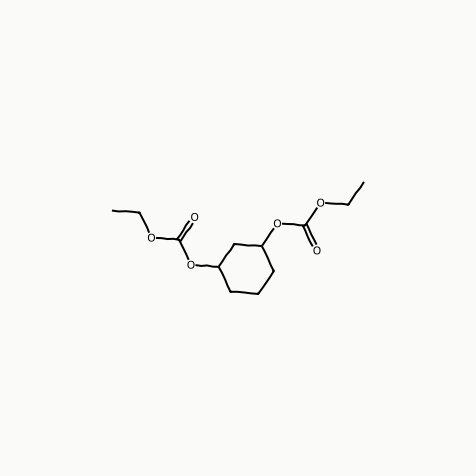 CCOC(=O)OC1CCCC(OC(=O)OCC)C1